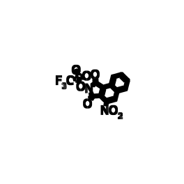 O=C1c2c([N+](=O)[O-])cc3ccccc3c2C(=O)N1OS(=O)(=O)C(F)(F)F